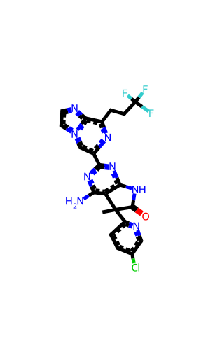 CC1(c2ccc(Cl)cn2)C(=O)Nc2nc(-c3cn4ccnc4c(CCC(F)(F)F)n3)nc(N)c21